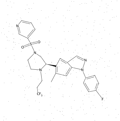 Cc1cc2c(cnn2-c2ccc(F)cc2)cc1[C@@H]1CN(S(=O)(=O)c2cccnc2)CCN1CCC(F)(F)F